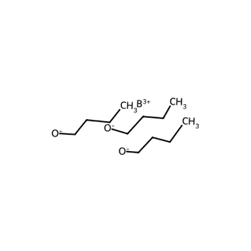 CCCC[O-].CCCC[O-].CCCC[O-].[B+3]